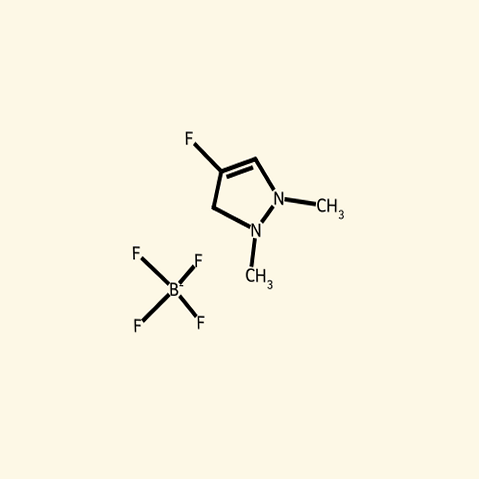 CN1C=C(F)CN1C.F[B-](F)(F)F